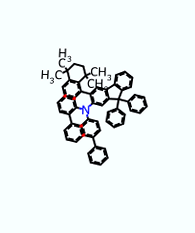 CC1(C)CCC(C)(C)c2c(-c3cc4c(cc3N(c3ccc(-c5ccccc5)cc3)c3ccccc3-c3ccccc3)C(c3ccccc3)(c3ccccc3)c3ccccc3-4)cccc21